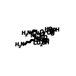 NCCCCC(N=c1nc(N)ccn1[C@@H]1O[C@H](COP(=O)(O)O)[C@@H](OP(=O)(O)O)[C@H]1O)C(=O)O